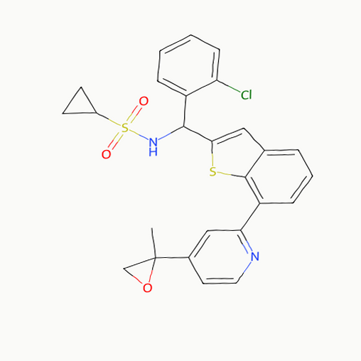 CC1(c2ccnc(-c3cccc4cc(C(NS(=O)(=O)C5CC5)c5ccccc5Cl)sc34)c2)CO1